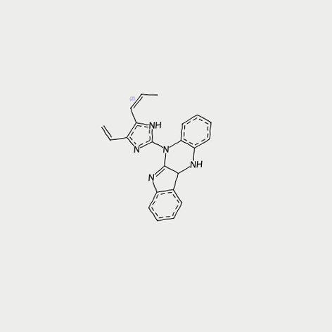 C=Cc1nc(N2C3=Nc4ccccc4C3Nc3ccccc32)[nH]c1/C=C\C